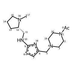 CC(=O)N1CCN(Cc2csc(NC[C@@H]3CCCN3I)n2)CC1